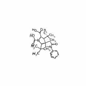 CC(C)(C)C1C(C(=O)O)N(C(=O)O)C(C(C)(C)C)C12CC(=O)N(c1ccccc1)C2